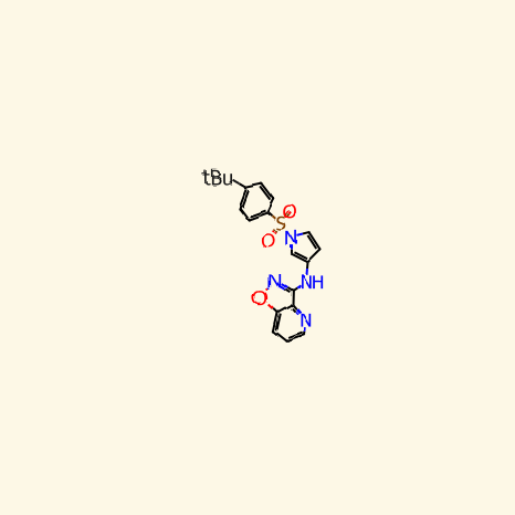 CC(C)(C)c1ccc(S(=O)(=O)n2ccc(Nc3noc4cccnc34)c2)cc1